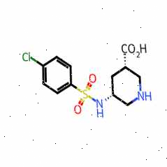 O=C(O)[C@@H]1CNC[C@H](NS(=O)(=O)c2ccc(Cl)cc2)C1